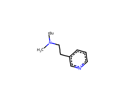 CN(CCc1cccnc1)C(C)(C)C